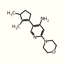 CC1=C(c2cnc(N3CCOCC3)cc2N)CCC1C